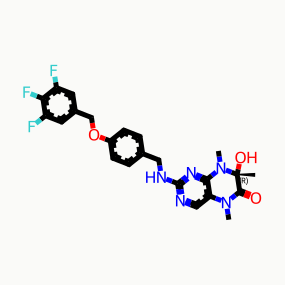 CN1C(=O)[C@@](C)(O)N(C)c2nc(NCc3ccc(OCc4cc(F)c(F)c(F)c4)cc3)ncc21